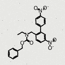 CCN(Cc1ccc([N+](=O)[O-])cc1-c1ccc([N+](=O)[O-])cc1)C(=O)OCc1ccccc1